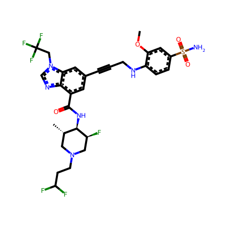 COc1cc(S(N)(=O)=O)ccc1NCC#Cc1cc(C(=O)N[C@@H]2[C@@H](C)CN(CCC(F)F)C[C@@H]2F)c2ncn(CC(F)(F)F)c2c1